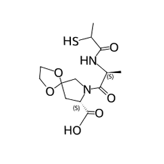 CC(S)C(=O)N[C@@H](C)C(=O)N1CC2(C[C@H]1C(=O)O)OCCO2